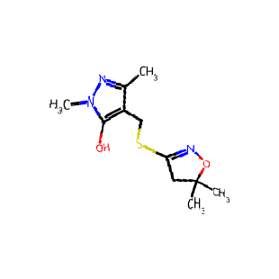 Cc1nn(C)c(O)c1CSC1=NOC(C)(C)C1